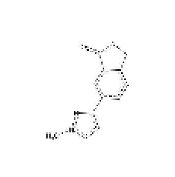 Cn1ccc(-c2ccc3c(c2)C(=O)NC3)n1